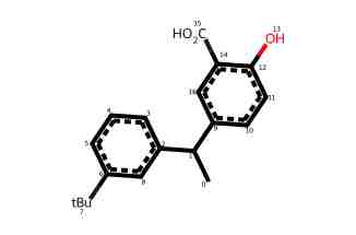 CC(c1cccc(C(C)(C)C)c1)c1ccc(O)c(C(=O)O)c1